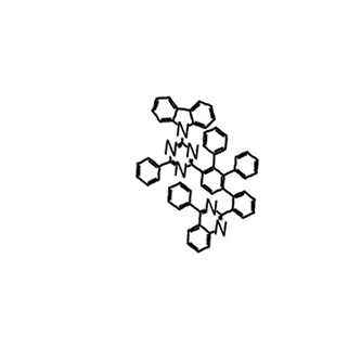 c1ccc(-c2nc(-c3ccc(-c4ccccc4-c4nc(-c5ccccc5)c5ccccc5n4)c(-c4ccccc4)c3-c3ccccc3)nc(-n3c4ccccc4c4ccccc43)n2)cc1